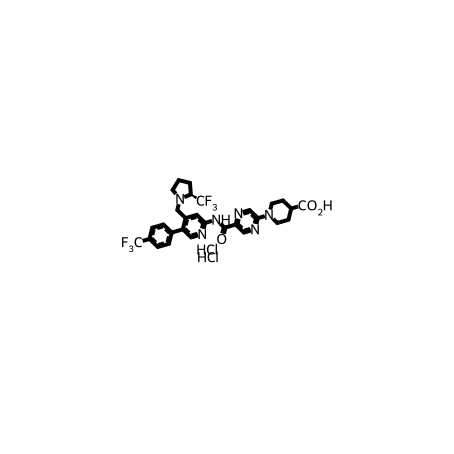 Cl.Cl.O=C(Nc1cc(CN2CCC[C@H]2C(F)(F)F)c(-c2ccc(C(F)(F)F)cc2)cn1)c1cnc(N2CCC(C(=O)O)CC2)cn1